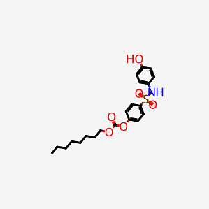 CCCCCCCCOC(=O)Oc1ccc(S(=O)(=O)Nc2ccc(O)cc2)cc1